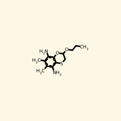 CCCOC1CSc2c(N)c(C)c(C)c(N)c2O1